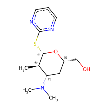 C[C@H]1[C@H](Sc2ncccn2)O[C@H](CO)C[C@@H]1N(C)C